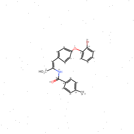 O=C(O)/C(=C/c1ccc(Oc2ccccc2Br)cc1)NC(=O)c1ccc(C(F)(F)F)cc1